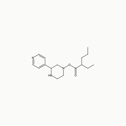 CCCC(CC)C(=O)ON1CCNC(c2ccncc2)C1